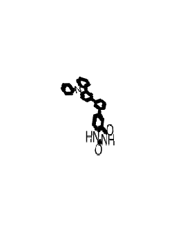 O=c1[nH]c(=O)c2cc(-c3cccc(-c4ccc5c(c4)c4ccccc4n5-c4ccccc4)c3)ccc2[nH]1